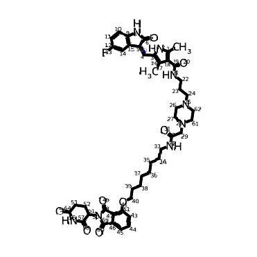 Cc1[nH]c(/C=C2\C(=O)Nc3ccc(F)cc32)c(C)c1C(=O)NCCCN1CCN(CC(=O)NCCCCCCCCOc2cccc3c2C(=O)N(C2CCC(=O)NC2=O)C3=O)CC1